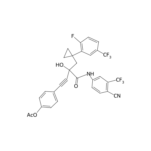 CC(=O)Oc1ccc(C#CC(O)(CC2(c3cc(C(F)(F)F)ccc3F)CC2)C(=O)Nc2ccc(C#N)c(C(F)(F)F)c2)cc1